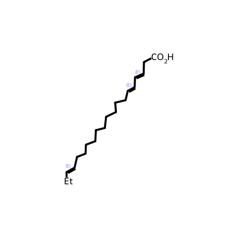 CC/C=C/CCCCCCCCCC/C=C/C=C/CC(=O)O